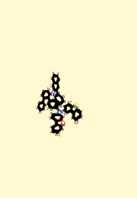 C1=Cc2c(c3cc4ccccc4cc3n2-c2cccc(-c3ccccc3)c2-c2ccc(N(c3ccc4c(c3)oc3ccccc34)c3ccc4sc5ccccc5c4c3)cc2)CC1